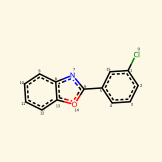 Clc1cccc(-c2nc3ccc[c]c3o2)c1